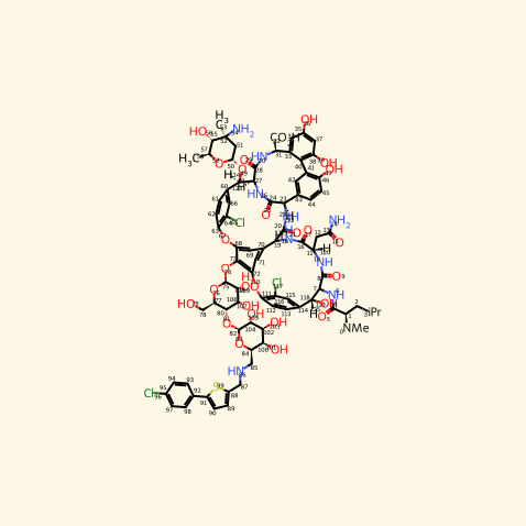 CN[C@H](CC(C)C)C(=O)NC1C(=O)N[C@@H](CC(N)=O)C(=O)N[C@H]2C(=O)N[C@H]3C(=O)N[C@H](C(=O)N[C@@H](C(=O)O)c4cc(O)cc(O)c4-c4cc3ccc4O)[C@H](O[C@H]3C[C@](C)(N)[C@@H](O)[C@H](C)O3)c3ccc(c(Cl)c3)Oc3cc2cc(c3O[C@@H]2O[C@H](CO)[C@@H](O[C@@H]3O[C@H](CNCc4ccc(-c5ccc(Cl)cc5)s4)[C@H](O)[C@H](O)[C@H]3O)[C@H](O)[C@H]2O)Oc2ccc(cc2Cl)[C@H]1O